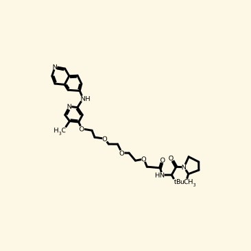 Cc1cnc(Nc2ccc3cnccc3c2)cc1OCCOCCOCCOCC(=O)NC(C(=O)N1CCCC1C)C(C)(C)C